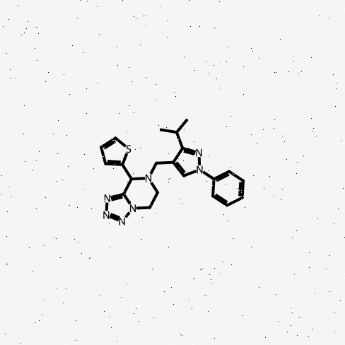 CC(C)c1nn(-c2ccccc2)cc1CN1CCn2nnnc2C1c1cccs1